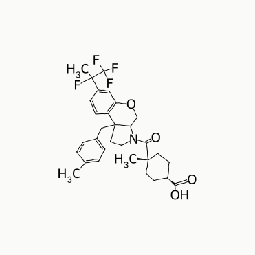 Cc1ccc(CC23CCN(C(=O)[C@]4(C)CC[C@@H](C(=O)O)CC4)C2COc2cc(C(C)(F)C(F)(F)F)ccc23)cc1